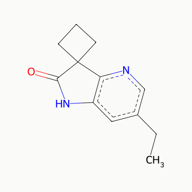 CCc1cnc2c(c1)NC(=O)C21CCC1